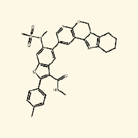 CNC(=O)c1c(-c2ccc(F)cc2)oc2cc(N(C)S(C)(=O)=O)c(-c3cnc4c(c3)-c3nc5c(n3CO4)CCCC5)cc12